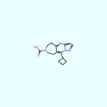 O=C(O)N1CCc2nc3ccnn3c(C3CCC3)c2CC1